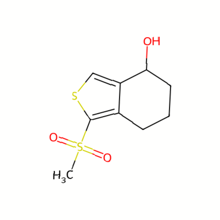 CS(=O)(=O)c1scc2c1CCCC2O